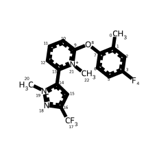 Cc1cc(F)ccc1Oc1cccc(-c2cc(C(F)(F)F)nn2C)[n+]1C